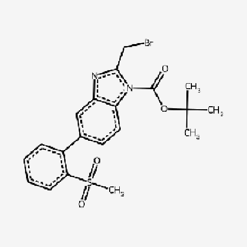 CC(C)(C)OC(=O)n1c(CBr)nc2cc(-c3ccccc3S(C)(=O)=O)ccc21